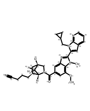 COc1cc(C(=O)N2C[C@H]3C[C@H](CCCC#N)[C@@H]2[C@@H]3N)cc2nc(-c3cc4cccnc4n3CC3CC3)n(C)c12